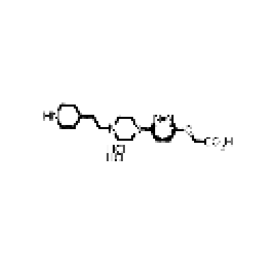 Cl.Cl.O=C(O)COc1ccc(N2CCN(CCC3CCNCC3)CC2)nn1